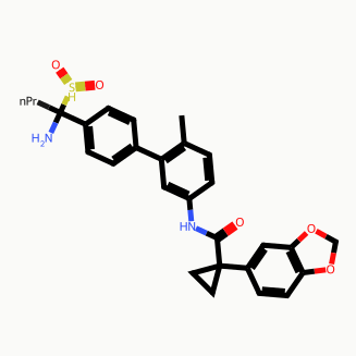 CCCC(N)(c1ccc(-c2cc(NC(=O)C3(c4ccc5c(c4)OCO5)CC3)ccc2C)cc1)[SH](=O)=O